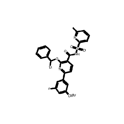 CCC(Oc1nc(-c2cc(F)cc(OCC(C)C)c2)ccc1C(=O)NS(=O)(=O)c1cccc(C)n1)c1ccccc1